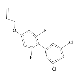 C=CCOc1cc(F)c(-c2cc(Cl)[c]c(Cl)c2)c(F)c1